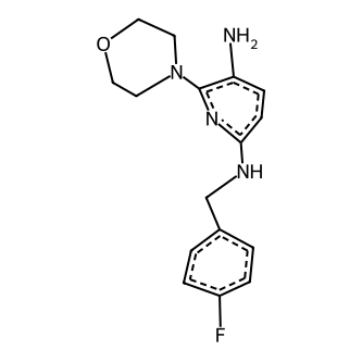 Nc1ccc(NCc2ccc(F)cc2)nc1N1CCOCC1